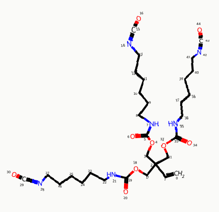 C=CC(COC(=O)NCCCCCCN=C=O)(COC(=O)NCCCCCCN=C=O)COC(=O)NCCCCCCN=C=O